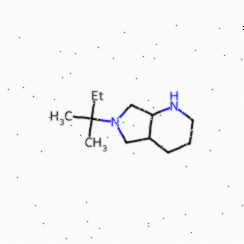 CCC(C)(C)N1CC2CCCNC2C1